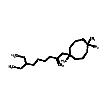 C=C(CCCCC(CC)CC)CC1(C)CCCC(C)(N)CCC1